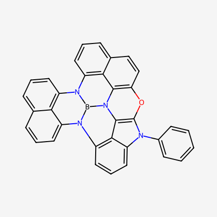 c1ccc(-n2c3c4c5c(cccc52)N2B5N(c6cccc7cccc2c67)c2cccc6ccc(c(c26)N54)O3)cc1